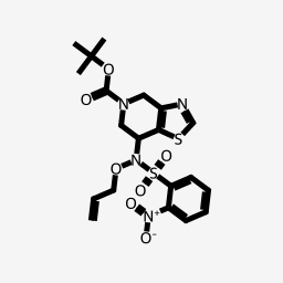 C=CCON(C1CN(C(=O)OC(C)(C)C)Cc2ncsc21)S(=O)(=O)c1ccccc1[N+](=O)[O-]